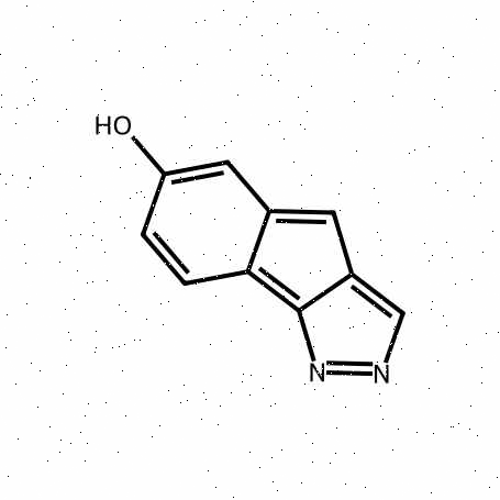 Oc1ccc2c(c1)=CC1=CN=NC=21